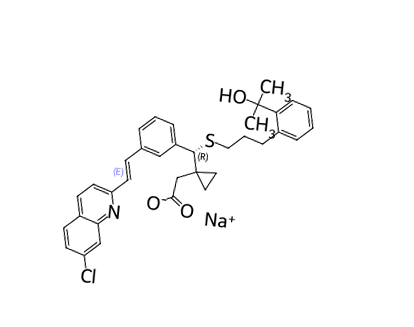 CC(C)(O)c1ccccc1CCCS[C@@H](c1cccc(/C=C/c2ccc3ccc(Cl)cc3n2)c1)C1(CC(=O)[O-])CC1.[Na+]